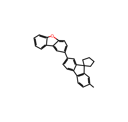 Cc1ccc2c(c1)C1(CCCC1)c1cc(-c3ccc4oc5ccccc5c4c3)ccc1-2